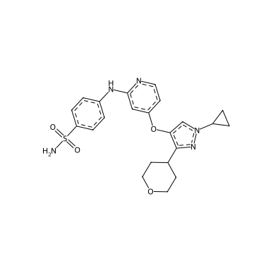 NS(=O)(=O)c1ccc(Nc2cc(Oc3cn(C4CC4)nc3C3CCOCC3)ccn2)cc1